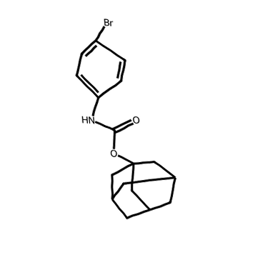 O=C(Nc1ccc(Br)cc1)OC12CC3CC(CC(C3)C1)C2